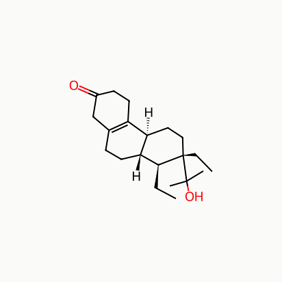 CC[C@H]1[C@@H]2CCC3=C(CCC(=O)C3)[C@H]2CC[C@]1(CC)C(C)(C)O